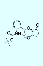 CC(C)(C)OC(=O)Nc1ccccc1C(=O)ON1C(=O)CCC1O